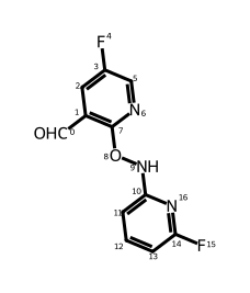 O=Cc1cc(F)cnc1ONc1cccc(F)n1